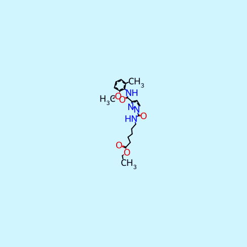 CCOC(=O)CCCCCNC(=O)n1ccc(C(=O)Nc2c(C)cccc2OC)n1